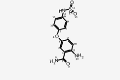 NC(=O)c1cc(Oc2ccc(N[SH](=O)=O)cc2)ccc1N